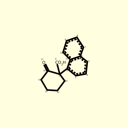 O=C(O)C1(c2cccc3ccccc23)CCCCC1=O